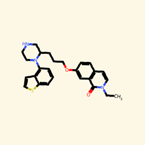 CCn1ccc2ccc(OCCCC3CNCCN3c3cccc4sccc34)cc2c1=O